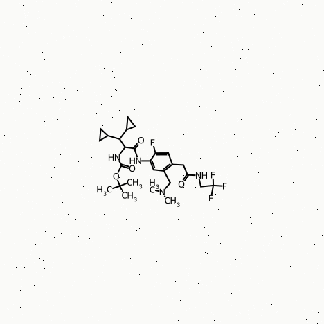 CN(C)Cc1cc(NC(=O)C(NC(=O)OC(C)(C)C)C(C2CC2)C2CC2)c(F)cc1CC(=O)NCC(F)(F)F